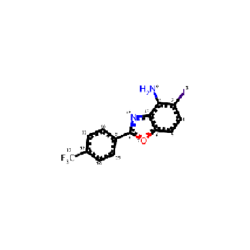 Nc1c(I)ccc2oc(-c3ccc(C(F)(F)F)cc3)nc12